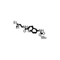 CCN(CC)CCNC(=O)c1ccc2cc(NC(=O)OC(C)(C)C)ccc2n1